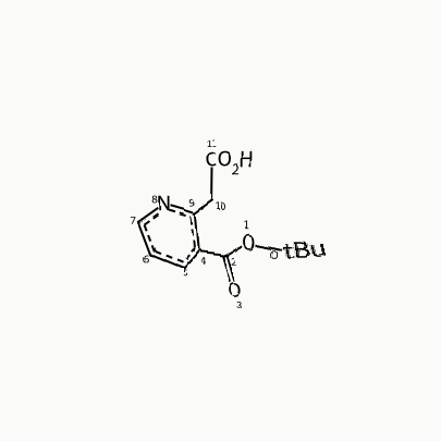 CC(C)(C)OC(=O)c1cccnc1CC(=O)O